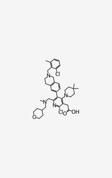 Cc1cccc(Cl)c1CN1CCc2cc(-c3c(CN(C)CC4CCOCC4)nc(Cl)c(CC(=O)O)c3N3CCC(C)(C)CC3)ccc2C1